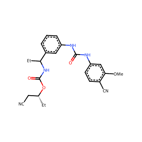 CCC(NC(=O)O[C@H](CC)CC#N)c1cccc(NC(=O)Nc2ccc(C#N)c(OC)c2)c1